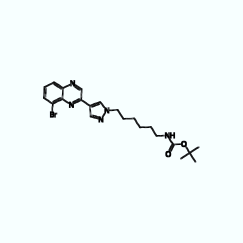 CC(C)(C)OC(=O)NCCCCCCn1cc(-c2cnc3cccc(Br)c3n2)cn1